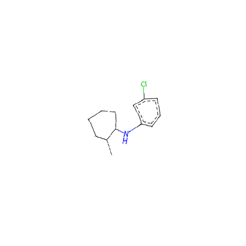 CC1[CH]CCCC1Nc1cccc(Cl)c1